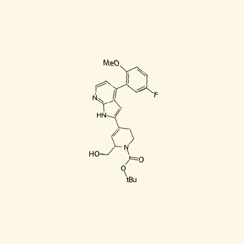 COc1ccc(F)cc1-c1ccnc2[nH]c(C3=CC(CO)N(C(=O)OC(C)(C)C)CC3)cc12